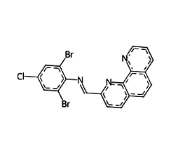 Clc1cc(Br)c(N=Cc2ccc3ccc4cccnc4c3n2)c(Br)c1